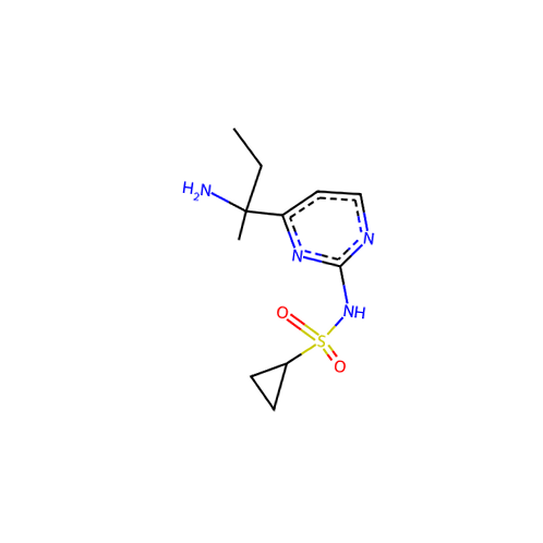 CCC(C)(N)c1ccnc(NS(=O)(=O)C2CC2)n1